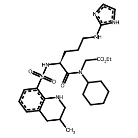 CCOC(=O)CN(C(=O)[C@H](CCCNc1ncc[nH]1)NS(=O)(=O)c1cccc2c1NCC(C)C2)C1CCCCC1